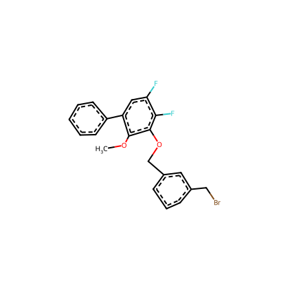 COc1c(-c2ccccc2)cc(F)c(F)c1OCc1cccc(CBr)c1